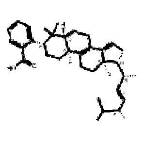 CC(C)[C@@H](C)/C=C/[C@@H](C)[C@H]1CC=C2C3=C(CC[C@@]21C)[C@@]1(C)CC[C@H](c2ccccc2C(=O)O)C(C)(C)[C@@H]1CC3